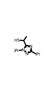 CC(C)c1nc(C(C)S)n(C(C)C)n1